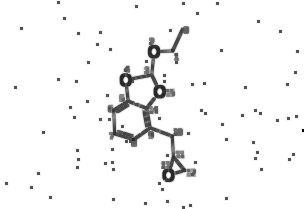 CCOC1Oc2cccc(CC3CO3)c2O1